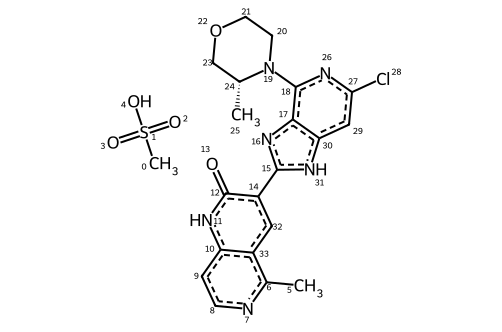 CS(=O)(=O)O.Cc1nccc2[nH]c(=O)c(-c3nc4c(N5CCOC[C@H]5C)nc(Cl)cc4[nH]3)cc12